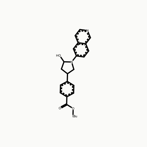 CC(C)(C)OC(=O)c1ccc(C2CC(O)N(c3ccc4cnccc4c3)C2)cc1